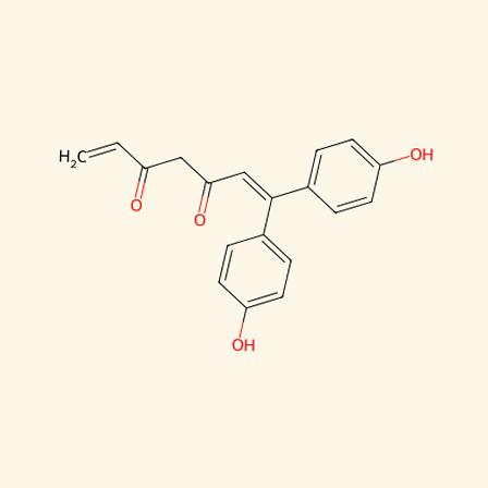 C=CC(=O)CC(=O)C=C(c1ccc(O)cc1)c1ccc(O)cc1